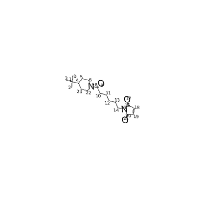 CC(C)(C)C1CCN(C(=O)CCCCCN2C(=O)C=CC2=O)CC1